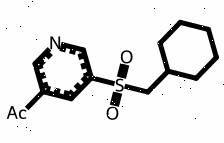 CC(=O)c1cncc(S(=O)(=O)CC2CCCCC2)c1